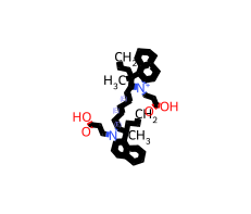 C=CCC1(C)C(/C=C/C=C/C=C2/N(CCC(=O)O)c3ccc4ccccc4c3C2(C)CC=C)=[N+](CCC(=O)O)c2ccc3ccccc3c21